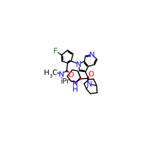 CC(C)N(C)C(=O)c1cc(F)ccc1-n1cc(C2CC3CCC(C2)N3C(=O)C2NC3CCC2CC3)c2ccncc21